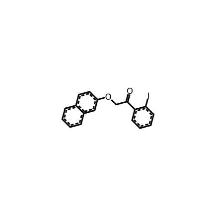 O=C(COc1ccc2ccccc2c1)c1ccccc1I